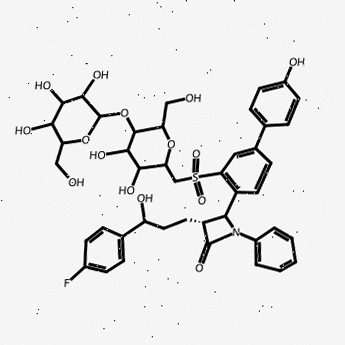 O=C1[C@H](CCC(O)c2ccc(F)cc2)C(c2ccc(-c3ccc(O)cc3)cc2S(=O)(=O)CC2OC(CO)C(OC3OC(CO)C(O)C(O)C3O)C(O)C2O)N1c1ccccc1